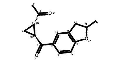 CC(=O)[C@H]1C[C@@H]1C(=O)c1ccc2c(c1)CC(C)O2